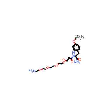 NCCOCCOCCOCCOCCC(=O)NC(Cc1ccc(OCC(=O)O)cc1)C(N)=O